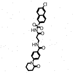 O=C(CCNC(=O)c1ccc(N2CCCCC2=O)cc1)NS(=O)(=O)c1ccc2cc(Cl)ccc2c1